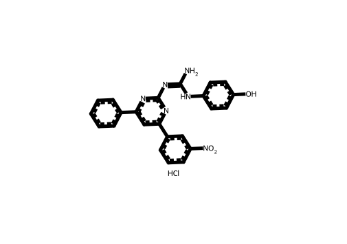 Cl.NC(=Nc1nc(-c2ccccc2)cc(-c2cccc([N+](=O)[O-])c2)n1)Nc1ccc(O)cc1